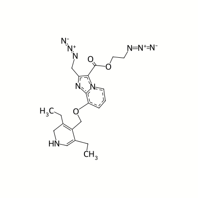 CCC1=CNCC(CC)=C1COc1cccn2c(C(=O)OCCN=[N+]=[N-])c(CN=[N+]=[N-])nc12